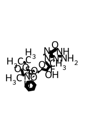 CC(C)OC(=O)C(C)NP(=S)(OC[C@H]1O[C@@H](n2cnc3c(=O)[nH]c(N)nc32)[C@](C)(F)[C@@H]1O)Oc1ccccc1